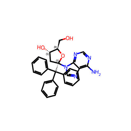 Nc1ncnc2c1ncn2[C@@]1(C(c2ccccc2)(c2ccccc2)c2ccccc2)C[C@H](O)[C@@H](CO)O1